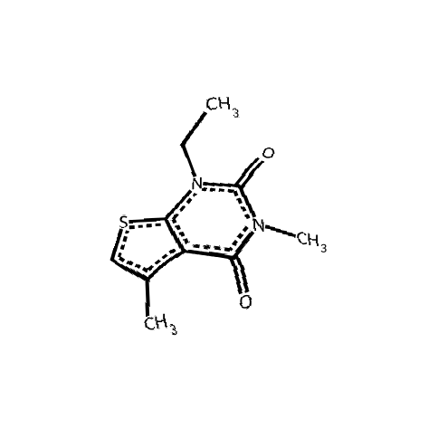 CCn1c(=O)n(C)c(=O)c2c(C)csc21